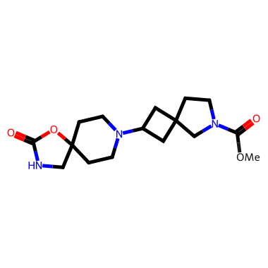 COC(=O)N1CCC2(CC(N3CCC4(CC3)CNC(=O)O4)C2)C1